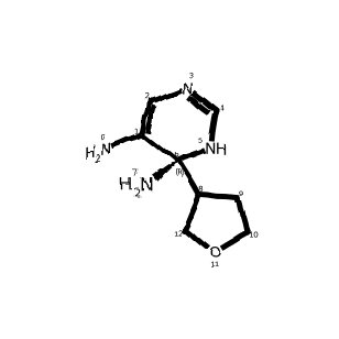 NC1=CN=CN[C@]1(N)C1CCOC1